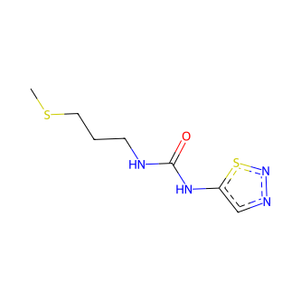 CSCCCNC(=O)Nc1cnns1